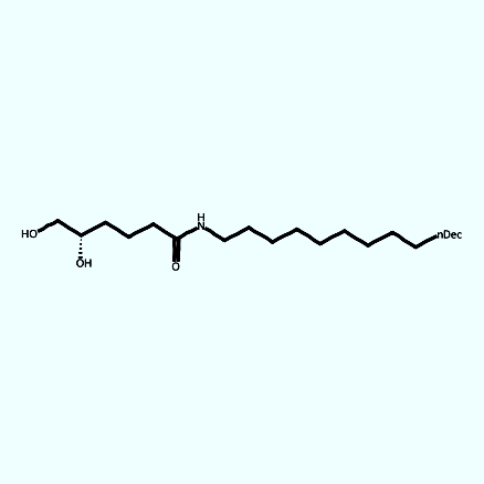 CCCCCCCCCCCCCCCCCCCNC(=O)CCC[C@H](O)CO